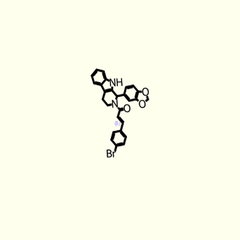 O=C(/C=C/c1ccc(Br)cc1)N1CCc2c([nH]c3ccccc23)C1c1ccc2c(c1)OCO2